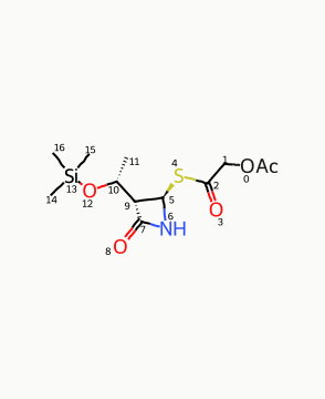 CC(=O)OCC(=O)S[C@H]1NC(=O)[C@@H]1[C@@H](C)O[Si](C)(C)C